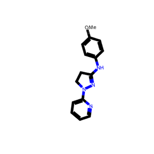 COc1ccc(NC2=NN(c3ccccn3)CC2)cc1